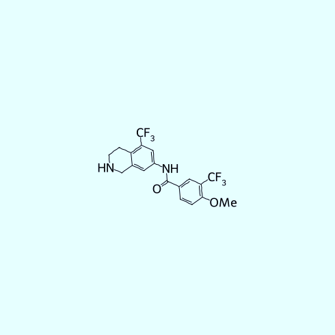 COc1ccc(C(=O)Nc2cc3c(c(C(F)(F)F)c2)CCNC3)cc1C(F)(F)F